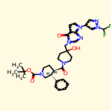 CC(C)(C)OC(=O)N1CC[C@@H](C(=O)N2CCC(O)(Cn3cnc4c(ccn4-c4cnn(C(F)F)c4)c3=O)CC2)[C@H](c2ccccc2)C1